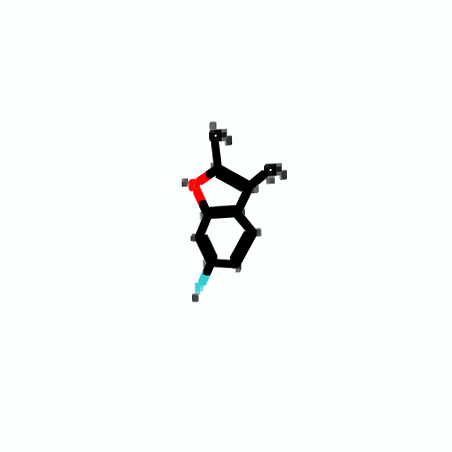 Cc1oc2cc(F)ccc2c1C